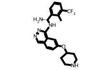 Cc1c([C@@H](N)Nc2nncc3ccc(OC4CCNCC4)cc23)cccc1C(F)(F)F